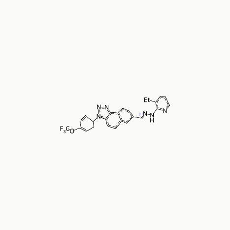 CCc1cccnc1N/N=C/c1ccc2c(ccc3c2nnn3C2C=CC(OC(F)(F)F)=CC2)c1